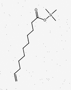 C=CCCCCCCCCC(=O)O[Si](C)(C)C